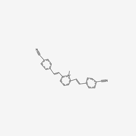 C[n+]1c(/C=C/c2ccc(C#N)cc2)cccc1/C=C/c1ccc(C#N)cc1